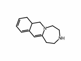 C1=CCC2CN3CCNCCC3=CC2=C1